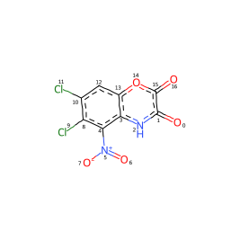 O=c1[nH]c2c([N+](=O)[O-])c(Cl)c(Cl)cc2oc1=O